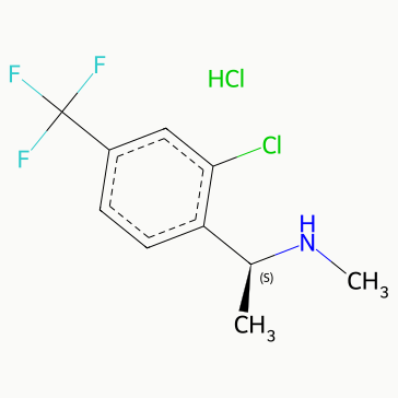 CN[C@@H](C)c1ccc(C(F)(F)F)cc1Cl.Cl